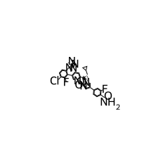 NC(=O)c1ccc(-c2cnn([C@@H](CC3CC3)c3ccc(-c4c(-n5cnnn5)ccc(Cl)c4F)c[n+]3[O-])c2)cc1F